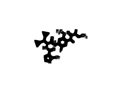 CC(C(=O)N(C)CC(F)(F)F)c1cc(F)c(NC(=O)[C@@H](NC(=O)c2ccnn2C(C)C)C(C2CC2)C2CC2)cc1OC(F)(F)F